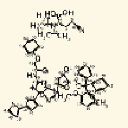 CC(C)N(C(C)C)N(CCC#N)P(O)O.COc1ccccc1C(OC[C@H]1O[C@@H](n2cnc3c(-c4ccc(-c5cccs5)s4)nc(NC(=O)COc4ccccc4)nc32)C[C@@H]1O)(c1ccccc1)c1ccccc1OC